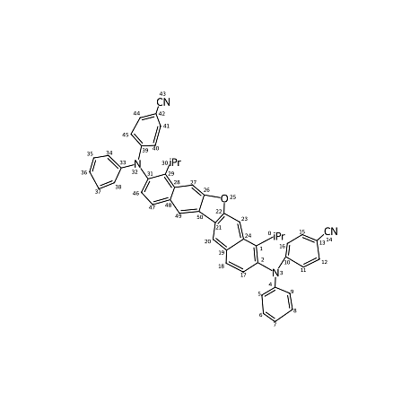 CC(C)c1c(N(c2ccccc2)c2ccc(C#N)cc2)ccc2cc3c(cc12)oc1cc2c(C(C)C)c(N(c4ccccc4)c4ccc(C#N)cc4)ccc2cc13